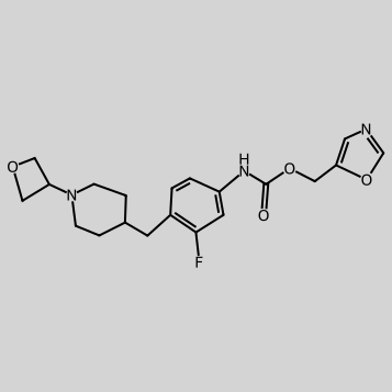 O=C(Nc1ccc(CC2CCN(C3COC3)CC2)c(F)c1)OCc1cnco1